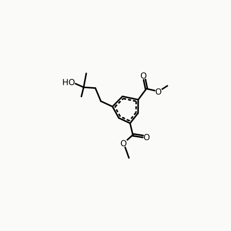 COC(=O)c1cc(CCC(C)(C)O)cc(C(=O)OC)c1